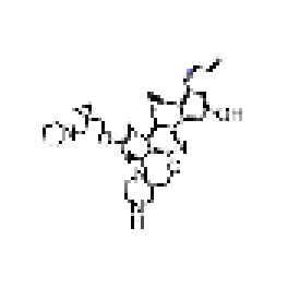 C#Cc1c(/C=C\C=C)cc(O)cc1-c1nc2c3c(nc(OCC4(CN5CCCC5)CC4)nc3c1F)N1CCNCC1CO2